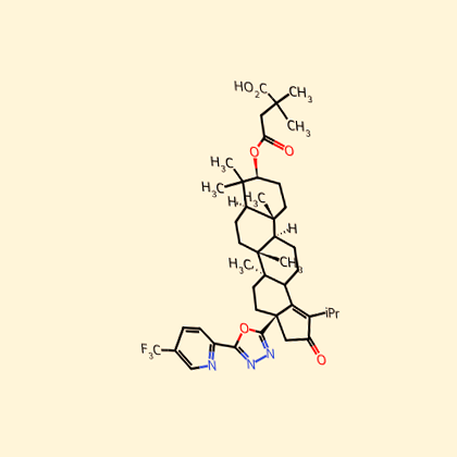 CC(C)C1=C2C3CC[C@@H]4[C@@]5(C)CC[C@H](OC(=O)CC(C)(C)C(=O)O)C(C)(C)[C@@H]5CC[C@@]4(C)[C@]3(C)CC[C@@]2(c2nnc(-c3ccc(C(F)(F)F)cn3)o2)CC1=O